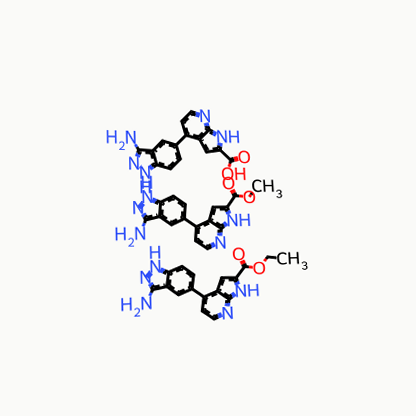 CCOC(=O)c1cc2c(-c3ccc4[nH]nc(N)c4c3)ccnc2[nH]1.COC(=O)c1cc2c(-c3ccc4[nH]nc(N)c4c3)ccnc2[nH]1.Nc1n[nH]c2ccc(-c3ccnc4[nH]c(C(=O)O)cc34)cc12